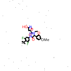 COc1ccc2c(c1)OCCN(C(=O)c1cc(O)no1)C2C(=O)Nc1cc(F)c([Si](C)(C)C)c(F)c1